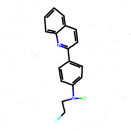 FCCN(Cl)c1ccc(-c2ccc3ccccc3n2)cc1